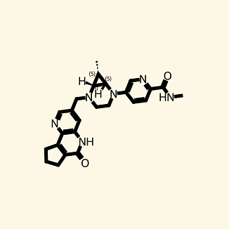 CNC(=O)c1ccc(N2CCN(Cc3cnc4c5c(c(=O)[nH]c4c3)CCC5)[C@@H]3[C@H](C)[C@@H]32)cn1